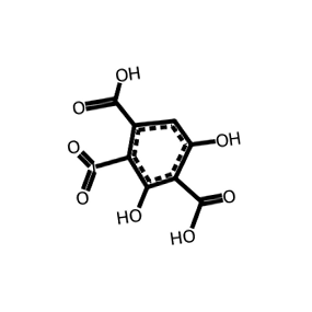 O=C(O)c1cc(O)c(C(=O)O)c(O)c1I(=O)=O